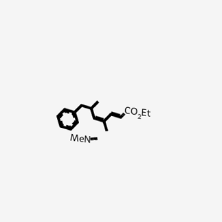 CCOC(=O)C=CC(C)=CC(C)Cc1ccccc1.CNC